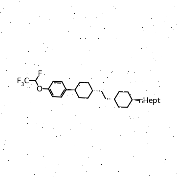 CCCCCCC[C@H]1CC[C@H](CC[C@H]2CC[C@H](c3ccc(OC(F)C(F)(F)F)cc3)CC2)CC1